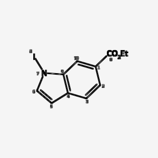 CCOC(=O)c1ccc2ccn(I)c2c1